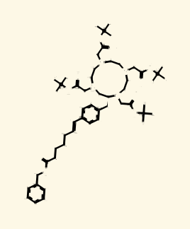 CC(C)(C)OC(=O)CN1CCN(CC(=O)OC(C)(C)C)CCN(CC(=O)OC(C)(C)C)[C@@H](Cc2ccc(/C=C/CCCCC(=O)OCc3ccccc3)cc2)CN(CC(=O)OC(C)(C)C)CC1